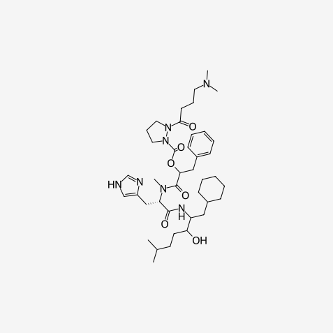 CC(C)CCC(O)C(CC1CCCCC1)NC(=O)[C@H](Cc1c[nH]cn1)N(C)C(=O)C(Cc1ccccc1)OC(=O)N1CCCN1C(=O)CCCN(C)C